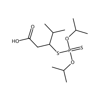 CC(C)OP(=S)(OC(C)C)SC(CC(=O)O)C(C)C